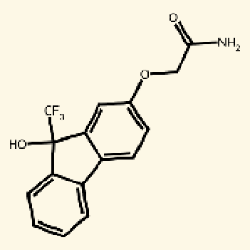 NC(=O)COc1ccc2c(c1)C(O)(C(F)(F)F)c1ccccc1-2